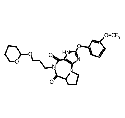 O=C1c2[nH]c(Oc3cccc(OC(F)(F)F)c3)nc2N2CCCC2C(=O)N1CCCOC1CCCCO1